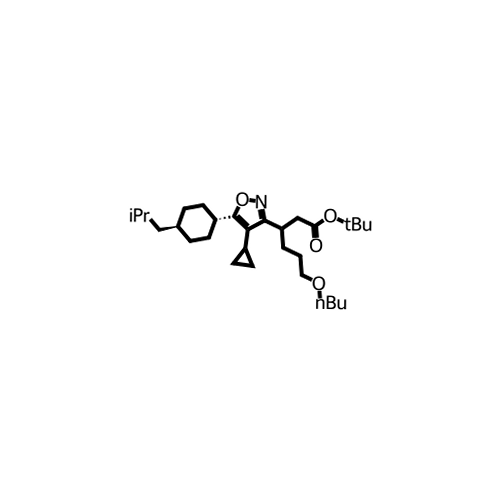 CCCCOCCCC(CC(=O)OC(C)(C)C)c1noc([C@H]2CC[C@H](CC(C)C)CC2)c1C1CC1